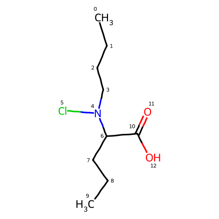 CCCCN(Cl)C(CCC)C(=O)O